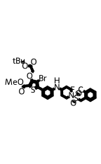 COC(=O)c1sc(-c2cccc(NC3CCN(S(=O)(=O)Cc4ccccc4C(F)(F)F)CC3)c2)c(Br)c1OCC(=O)OC(C)(C)C